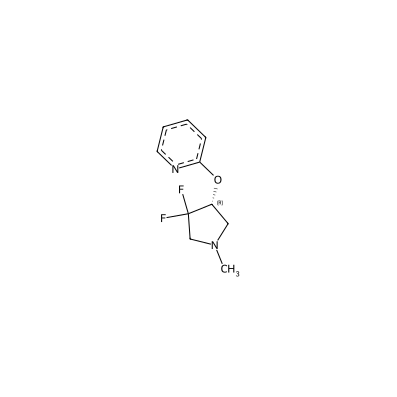 CN1C[C@@H](Oc2ccccn2)C(F)(F)C1